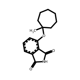 CC1(Oc2cccc3c2C(=O)NC3=O)CCCCCC1